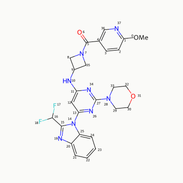 COc1ccc(C(=O)N2CC(Nc3cc(-n4c(C(F)F)nc5ccccc54)nc(N4CCOCC4)n3)C2)cn1